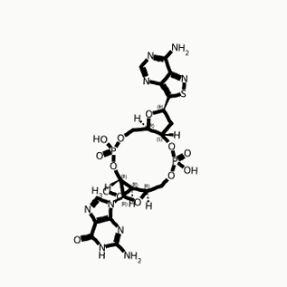 CO[C@H]1[C@H]2OP(=O)(O)OC[C@H]3O[C@@H](c4snc5c(N)ncnc45)C[C@@H]3OP(=O)(O)OC[C@H]1O[C@H]2n1cnc2c(=O)[nH]c(N)nc21